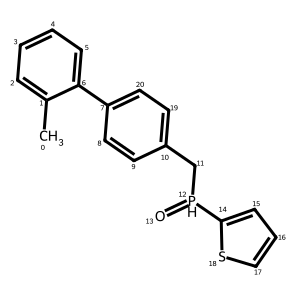 Cc1ccccc1-c1ccc(C[PH](=O)c2cccs2)cc1